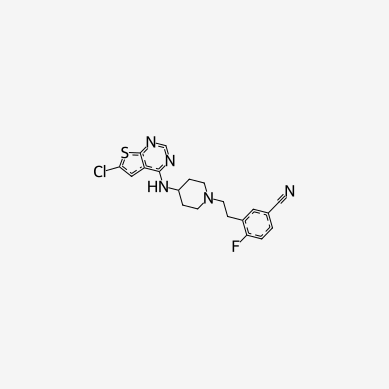 N#Cc1ccc(F)c(CCN2CCC(Nc3ncnc4sc(Cl)cc34)CC2)c1